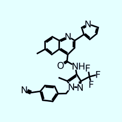 Cc1ccc2nc(-c3cccnc3)cc(C(=O)Nc3c(C(F)(F)F)nn(Cc4ccc(C#N)cc4)c3C)c2c1